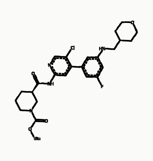 CC(C)(C)OC(=O)N1CCC[C@@H](C(=O)Nc2cc(-c3cc(F)cc(NCC4CCOCC4)c3)c(Cl)cn2)C1